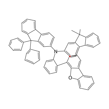 CC1(C)c2ccccc2-c2ccc(N(c3ccc4c(c3)C(c3ccccc3)(c3ccccc3)c3ccccc3-4)c3ccccc3-c3cccc4c3oc3ccccc34)cc21